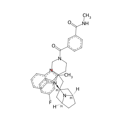 CNC(=O)c1cccc(C(=O)N2CCC(CCN3[C@@H]4CC[C@H]3C[C@@H](n3c(C)nc5ccccc53)C4)(c3cccc(F)c3)CC2)c1